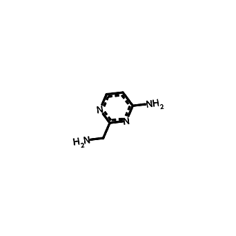 NCc1nccc(N)n1